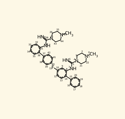 CN1CCN(C(=N)Nc2cc(F)ccc2-c2ccccc2)CC1.CN1CCN(C(=N)Nc2ccccc2-c2ccccc2)CC1